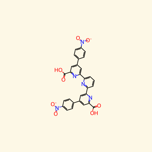 O=C(O)c1cc(-c2ccc([N+](=O)[O-])cc2)cc(-c2cccc(-c3cc(-c4ccc([N+](=O)[O-])cc4)cc(C(=O)O)n3)n2)n1